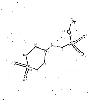 CC(C)OS(=O)(=O)CCN1CCS(=O)(=O)CC1